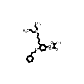 CCCN(CCC)CCCCc1cc(Cl)ccc1OCCc1ccccc1.O=C(O)C(=O)O